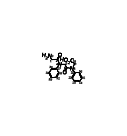 NCC(=O)N(CC(=O)N(CC(=O)O)c1ccccc1)c1ccccc1